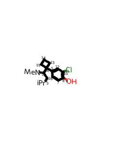 CNC(CC(C)C)C1(c2ccc(O)c(Cl)c2)CCC1